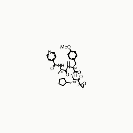 COc1ccc(C[C@H](NC(=O)[C@@H](C)NC(=O)c2ccncc2)C(=O)N[C@@H](CC2CCCC2)C(=O)[C@]2(C)CO2)cc1